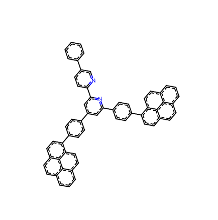 c1ccc(-c2ccc(-c3cc(-c4ccc(-c5ccc6ccc7cccc8ccc5c6c78)cc4)cc(-c4ccc(-c5ccc6ccc7cccc8ccc5c6c78)cc4)n3)nc2)cc1